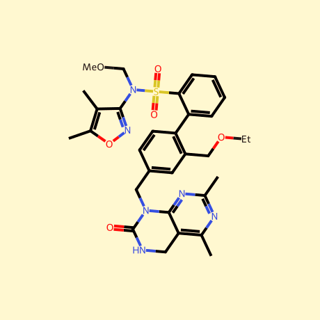 CCOCc1cc(CN2C(=O)NCc3c(C)nc(C)nc32)ccc1-c1ccccc1S(=O)(=O)N(COC)c1noc(C)c1C